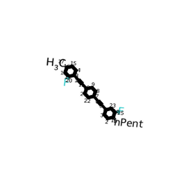 CCCCCc1ccc(C#Cc2ccc(C#Cc3ccc(C)cc3F)cc2)cc1F